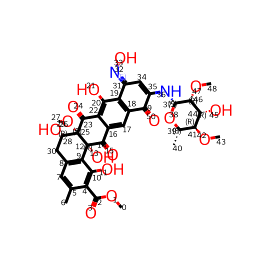 COC(=O)c1c(C)cc2c(c1O)[C@]1(O)C(=O)c3cc4c(c(O)c3C(=O)[C@]1(OC)[C@H](O)C2)/C(=N/O)C=C(N[C@H]1O[C@@H](C)[C@H](OC)[C@@H](O)[C@H]1OC)C4=O